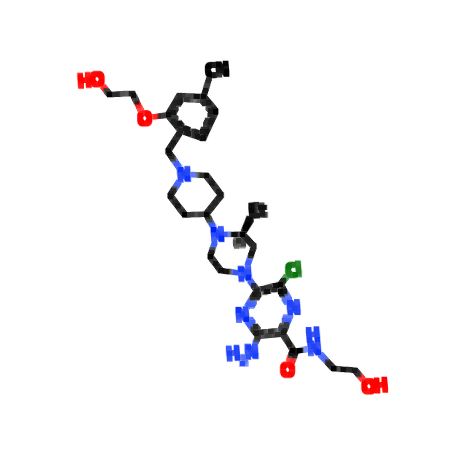 CC[C@H]1CN(c2nc(N)c(C(=O)NCCO)nc2Cl)CCN1C1CCN(Cc2ccc(C#N)cc2OCCO)CC1